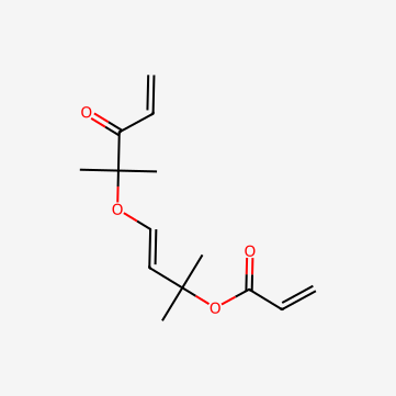 C=CC(=O)OC(C)(C)/C=C/OC(C)(C)C(=O)C=C